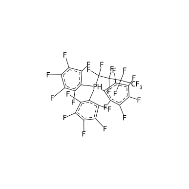 Fc1c(F)c(F)c([PH](c2c(F)c(F)c(F)c(F)c2F)(c2c(F)c(F)c(F)c(F)c2F)C(F)(F)C(F)(F)C(F)(F)C(F)(F)F)c(F)c1F